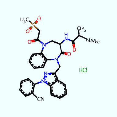 CNC(C)C(=O)NC1CN(C(=O)CS(C)(=O)=O)c2ccccc2N(Cc2nn(-c3ccccc3C#N)c3ccccc23)C1=O.Cl